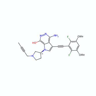 CC#CCN1CC[C@H](n2cc(C#Cc3c(F)c(OC)cc(OC)c3F)c3c(N)nnc(O)c32)C1